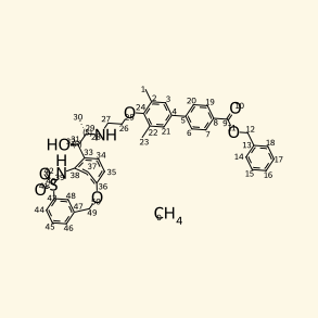 C.Cc1cc(-c2ccc(C(=O)OCc3ccccc3)cc2)cc(C)c1OCCN[C@@H](C)[C@H](O)c1ccc2cc1NS(=O)(=O)c1cccc(c1)CO2